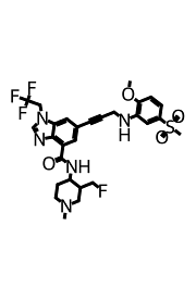 COc1ccc(S(C)(=O)=O)cc1NCC#Cc1cc(C(=O)NC2CCN(C)CC2CF)c2ncn(CC(F)(F)F)c2c1